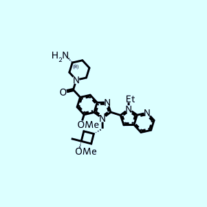 CCn1c(-c2nc3cc(C(=O)N4CCC[C@@H](N)C4)cc(OC)c3n2C[C@H]2C[C@@](C)(OC)C2)cc2cccnc21